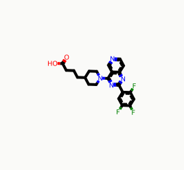 O=C(O)CCCC1CCN(c2nc(-c3cc(F)c(F)cc3F)nc3ccncc23)CC1